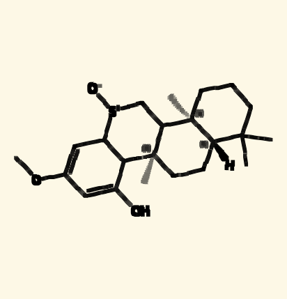 COC1=CC2C(C(O)=C1)[C@]1(C)CC[C@H]3C(C)(C)CCC[C@]3(C)C1C[S+]2[O-]